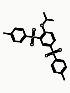 Cc1ccc(S(=O)(=O)c2ccc(OC(C)C)c(S(=O)(=O)c3ccc(C)cc3)c2)cc1